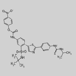 CC(C)NC(=S)Nc1ccc(-c2ncc(-c3ccc(NC(=O)Oc4ccc([N+](=O)[O-])cc4)cc3S(=O)(=O)NC(C)(C)C)s2)cc1